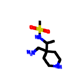 CC(NS(C)(=O)=O)C1(CN)CCNCC1